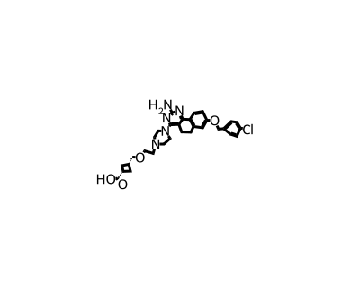 Nc1nc2c(c(N3CCN(CCOC[C@H]4C[C@@H](C(=O)O)C4)CC3)n1)CCc1cc(OCc3ccc(Cl)cc3)ccc1-2